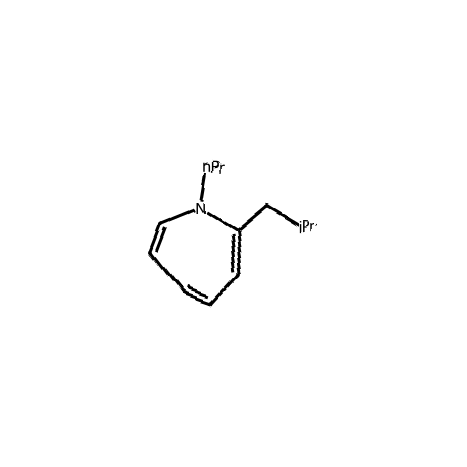 CCCN1C=CC=CC=C1C[C](C)C